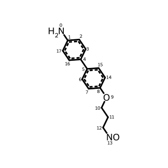 Nc1ccc(-c2ccc(OCCCN=O)cc2)cc1